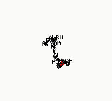 Cc1ncsc1-c1ccc([C@H](C)NC(=O)[C@@H]2C[C@@H](O)CN2C(=O)[C@H](c2cc(OCC#Cc3ccc(OC4CC(Oc5cc(N6C7CC[C@@H]6CN(c6cc(-c8ccccc8O)nnc6N)C7)ccn5)C4)cn3)no2)C(C)C)cc1